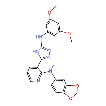 COc1cc(Nc2nnc(-c3cccnc3N(C)c3ccc4c(c3)OCO4)[nH]2)cc(OC)c1